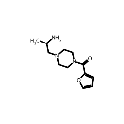 C[C@@H](N)CN1CCN(C(=O)c2ccco2)CC1